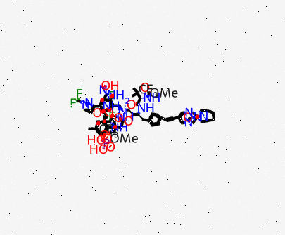 COC(=O)N[C@H](C(=O)N[C@@H](Cc1ccc(C#Cc2cnc(N3CC4CCC(C3)N4C3COC3)nc2)cc1)[C@H](CN(Cc1c(F)cc(-c2ccn(C(F)F)n2)cc1F)NC(=O)[C@@H](NC(=O)OC)C(C)(C)C(F)(F)F)OC(=O)CC(C)(C)c1c(CC(=O)NC/C(N)=N/O)cc(C)cc1OP(=O)(O)O)C(C)(C)C(F)(F)F